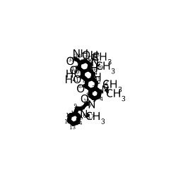 CN(C)c1cc2nc(-c3cc4ccccc4n3C)oc2c2c1C[C@H]1C[C@H]3[C@H](N(C)C)C(O)=C(C(N)=O)C(=O)[C@@]3(O)C(O)=C1C2=O